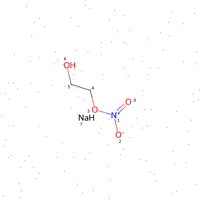 O=[N+]([O-])OCCO.[NaH]